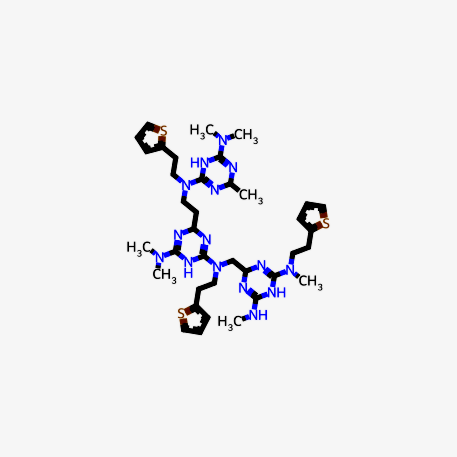 CNC1=NC(CN(CCc2cccs2)C2=NC(CCN(CCc3cccs3)C3=NC(C)N=C(N(C)C)N3)N=C(N(C)C)N2)N=C(N(C)CCc2cccs2)N1